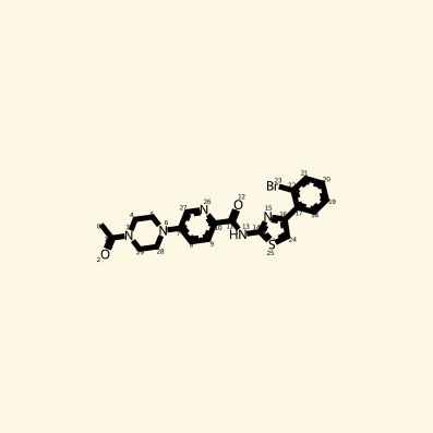 CC(=O)N1CCN(c2ccc(C(=O)Nc3nc(-c4ccccc4Br)cs3)nc2)CC1